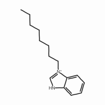 CCCCCCCC[n+]1c[nH]c2ccccc21